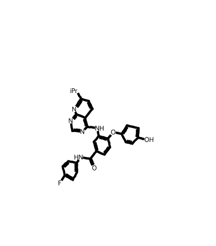 CC(C)c1ccc2c(Nc3cc(C(=O)Nc4ccc(F)cc4)ccc3Oc3ccc(O)cc3)ncnc2n1